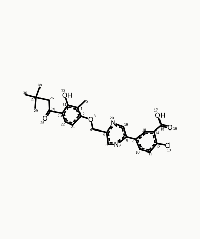 Cc1c(OCc2cnc(-c3ccc(Cl)c(C(=O)O)c3)cn2)ccc(C(=O)CC(C)(C)C)c1O